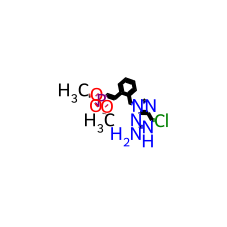 CCOP(=O)(C=Cc1ccccc1Cn1cnc2c1N=C(N)NC2Cl)OCC